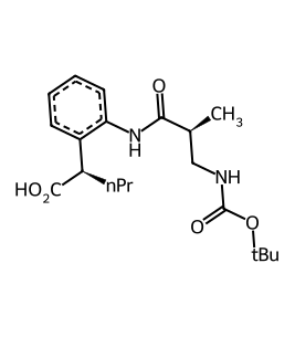 CCC[C@@H](C(=O)O)c1ccccc1NC(=O)[C@@H](C)CNC(=O)OC(C)(C)C